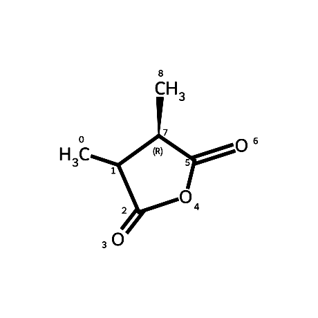 CC1C(=O)OC(=O)[C@@H]1C